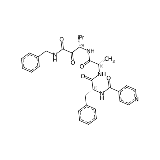 CC(C)[C@H](NC(=O)[C@H](C)NC(=O)[C@@H](Cc1ccccc1)NC(=O)c1ccncc1)C(=O)C(=O)NCc1ccccc1